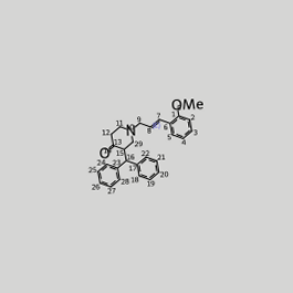 COc1ccccc1/C=C/CN1CCC(=O)C(C(c2ccccc2)c2ccccc2)C1